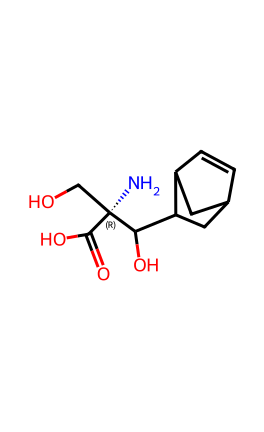 N[C@@](CO)(C(=O)O)C(O)C1CC2C=CC1C2